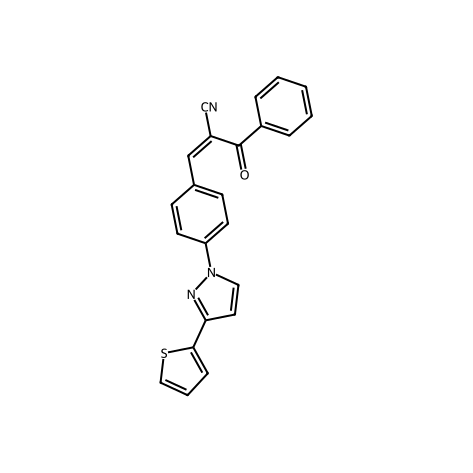 N#CC(=Cc1ccc(-n2ccc(-c3cccs3)n2)cc1)C(=O)c1ccccc1